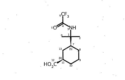 CC(C)(NC(=O)C(F)(F)F)[C@H]1CCC[C@@H](C(=O)O)C1